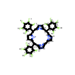 Fc1c(F)c(F)c(-c2c3nc(c(-c4c(F)c(F)c(F)c(F)c4F)c4ccc([nH]4)c4ccc([nH]4)c(-c4c(F)c(F)c(F)c(F)c4F)c4ccc2[nH]4)C=C3)c(F)c1F